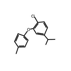 Cc1ccc(Oc2cc(C(C)C)ccc2Cl)cc1